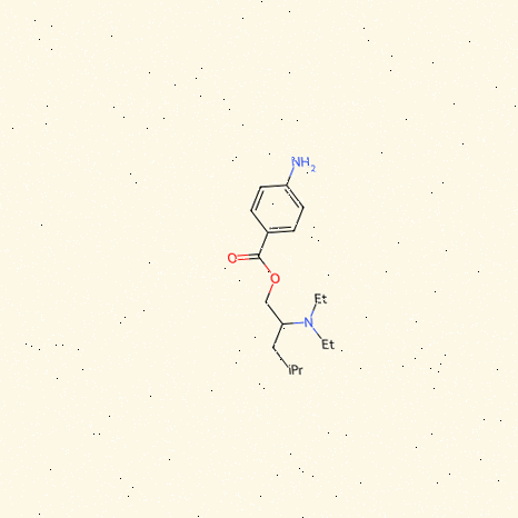 CCN(CC)C(COC(=O)c1ccc(N)cc1)CC(C)C